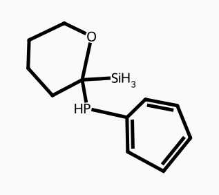 [SiH3]C1(Pc2ccccc2)CCCCO1